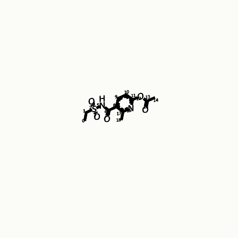 CCS(=O)(=O)NC(=O)c1ccc(OC(C)=O)nc1C